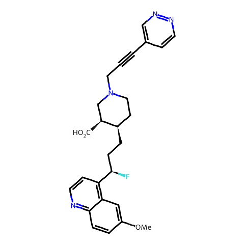 COc1ccc2nccc([C@H](F)CC[C@@H]3CCN(CC#Cc4ccnnc4)C[C@@H]3C(=O)O)c2c1